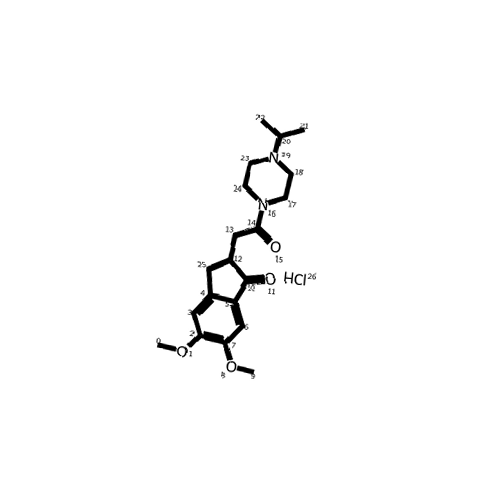 COc1cc2c(cc1OC)C(=O)C(CC(=O)N1CCN(C(C)C)CC1)C2.Cl